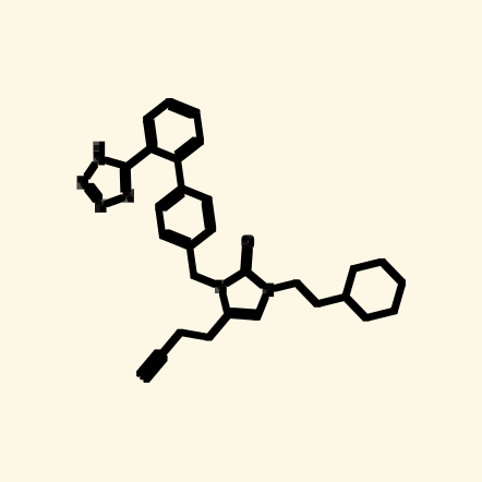 C#CCCc1cn(CCC2CCCCC2)c(=O)n1Cc1ccc(-c2ccccc2-c2nnn[nH]2)cc1